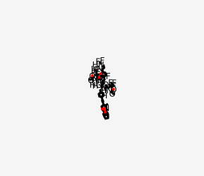 COC(=O)N[C@H](C(=O)N[C@@H](Cc1ccc(C#Cc2ccc(N3CC4CCC(C3)N4C3COC3)nc2C)cc1)[C@@H](O)CN(Cc1c(F)cc(C(=N)/C=C\NC(F)F)cc1F)NC(=O)[C@@H](NC(=O)OC)C(C)(C)C(F)(F)F)C(C)(C)C(F)(F)F